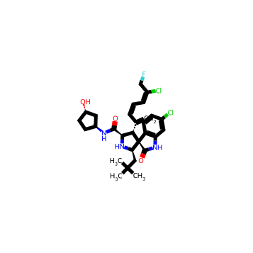 C=C(/C=C\C=C(\Cl)CF)[C@H]1[C@H](C(=O)N[C@H]2CC[C@H](O)C2)N[C@H](CC(C)(C)C)[C@]12C(=O)Nc1cc(Cl)ccc12